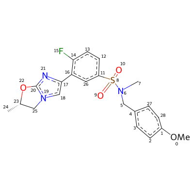 COc1ccc(CN(C)S(=O)(=O)c2ccc(F)c(-c3cn4c(n3)O[C@@H](C)C4)c2)cc1